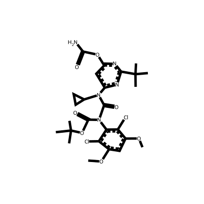 COc1cc(OC)c(Cl)c(N(C(=O)OC(C)(C)C)C(=O)N(c2cc(OC(N)=O)nc(C(C)(C)C)n2)C2CC2)c1Cl